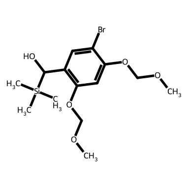 COCOc1cc(OCOC)c(C(O)[Si](C)(C)C)cc1Br